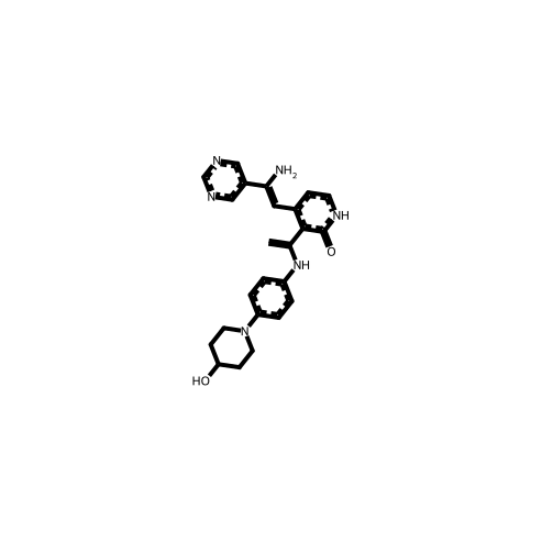 C=C(Nc1ccc(N2CCC(O)CC2)cc1)c1c(/C=C(\N)c2cncnc2)cc[nH]c1=O